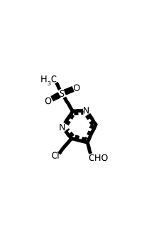 CS(=O)(=O)c1ncc(C=O)c(Cl)n1